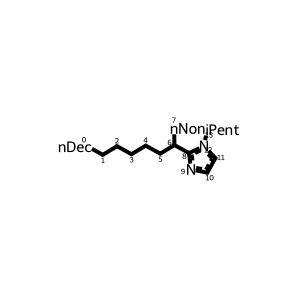 CCCCCCCCCCCCCCCC(CCCCCCCCC)c1nccn1C(C)CCC